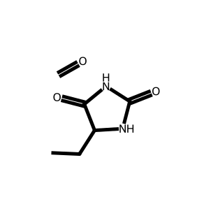 C=O.CCC1NC(=O)NC1=O